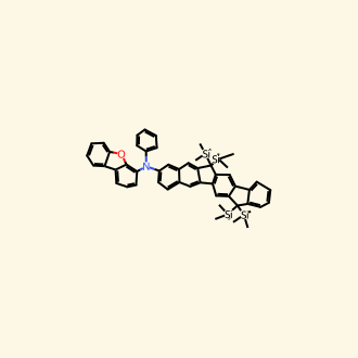 C[Si](C)(C)C1([Si](C)(C)C)c2ccccc2-c2cc3c(cc21)-c1cc2ccc(N(c4ccccc4)c4cccc5c4oc4ccccc45)cc2cc1C3([Si](C)(C)C)[Si](C)(C)C